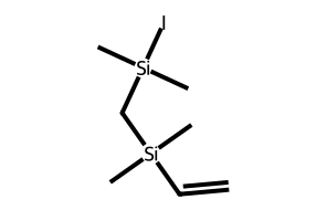 C=C[Si](C)(C)C[Si](C)(C)I